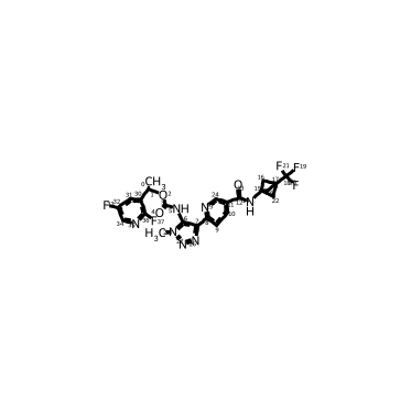 C[C@@H](OC(=O)Nc1c(-c2ccc(C(=O)NC34CC(C(F)(F)F)(C3)C4)cn2)nnn1C)c1cc(F)cnc1F